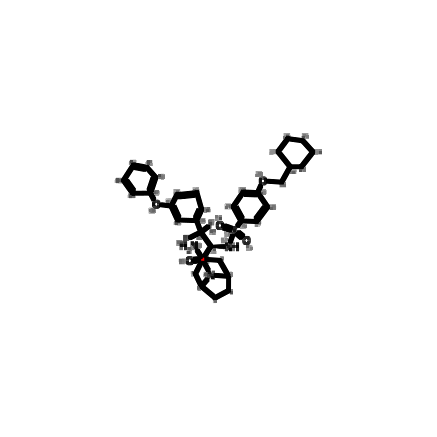 NC1CC2CCC(C1)N2C(=O)[C@H](NS(=O)(=O)c1ccc(OCC2CCCCC2)cc1)C(F)(F)c1cccc(Oc2ccccc2)c1